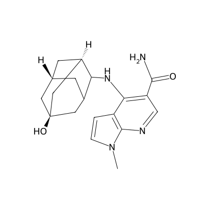 Cn1ccc2c(NC3C4C[C@H]5C[C@@H]3C[C@](O)(C4)C5)c(C(N)=O)cnc21